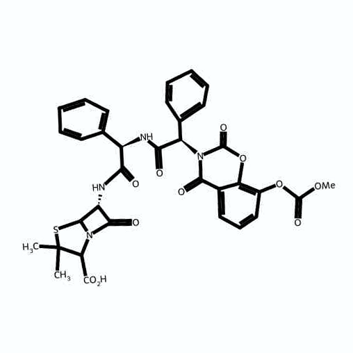 COC(=O)Oc1cccc2c(=O)n([C@@H](C(=O)N[C@@H](C(=O)N[C@@H]3C(=O)N4C3SC(C)(C)C4C(=O)O)c3ccccc3)c3ccccc3)c(=O)oc12